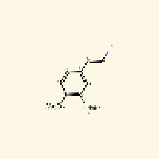 COc1ccc(C=CI)cc1OC